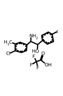 Cc1cc(C(N)C(O)c2ccc(I)cc2)ccc1Cl.O=C(O)C(F)(F)F